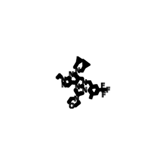 CCn1ncc2cc(CN(Cc3cc(C)cc(C(F)(F)F)c3)c3ncc(N4CCOCC4)cn3)c(N(CC3CC3)CC3CC3)nc21